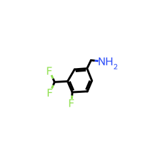 NCc1ccc(F)c(C(F)F)c1